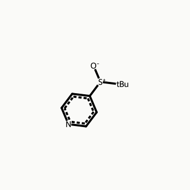 CC(C)(C)[S+]([O-])c1ccncc1